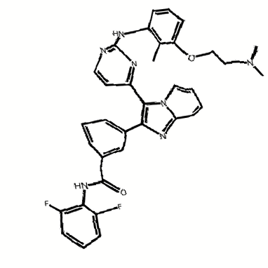 Cc1c(Nc2nccc(-c3c(-c4cccc(C(=O)Nc5c(F)cccc5F)c4)nc4ccccn34)n2)cccc1OCCN(C)C